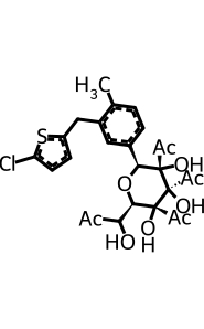 CC(=O)C(O)[C@H]1O[C@@H](c2ccc(C)c(Cc3ccc(Cl)s3)c2)[C@@](O)(C(C)=O)[C@](O)(C(C)=O)[C@@]1(O)C(C)=O